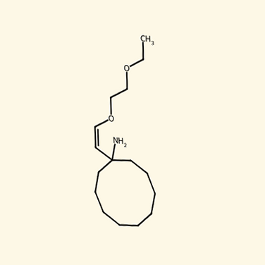 CCOCCO/C=C\C1(N)CCCCCCCCC1